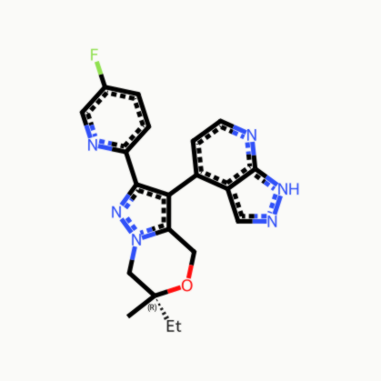 CC[C@]1(C)Cn2nc(-c3ccc(F)cn3)c(-c3ccnc4[nH]ncc34)c2CO1